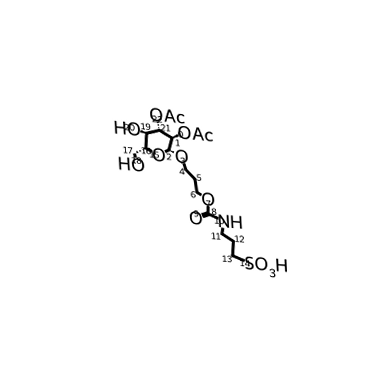 CC(=O)O[C@H]1[C@H](OCCCOC(=O)NCCCS(=O)(=O)O)O[C@H](CO)[C@@H](O)[C@@H]1OC(C)=O